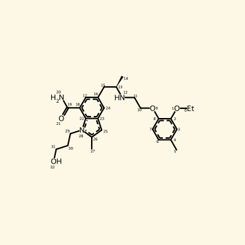 CCOc1cc(C)ccc1OCCN[C@H](C)Cc1cc(C(N)=O)c2c(c1)cc(C)n2CCCO